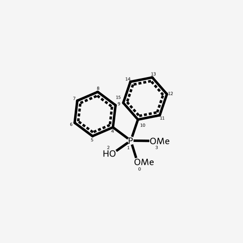 COP(O)(OC)(c1ccccc1)c1ccccc1